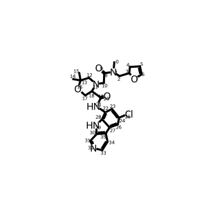 CN(CC1CC=CO1)C(=O)CN1CC(C)(C)OCC1C(=O)Nc1cc(Cl)cc2c1[nH]c1cnccc12